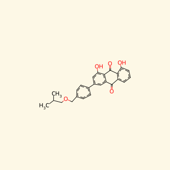 CC(C)COCc1ccc(-c2cc(O)c3c(c2)C(=O)c2cccc(O)c2C3=O)cc1